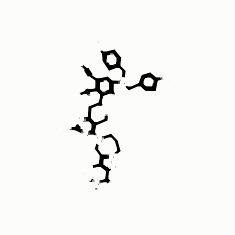 CC#Cc1cc(N(Cc2ccc(OC)cc2)Cc2ccc(OC)cc2)c(F)c(C2Cc3nc(SC)nc(N4CCCn5nc(C(=O)N(C)C)c(C)c5C4)c3CO2)c1C(F)(F)F